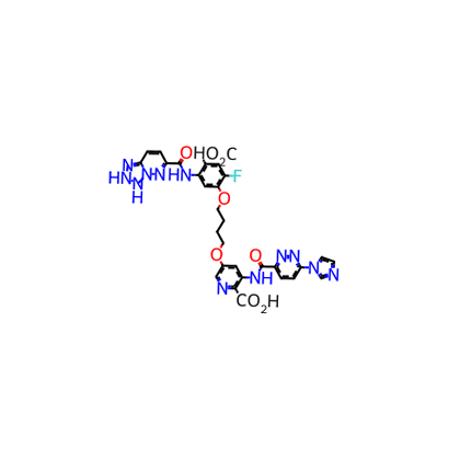 O=C(Nc1cc(OCCCCOc2cnc(C(=O)O)c(NC(=O)c3ccc(-n4ccnc4)nn3)c2)c(F)cc1C(=O)O)C1=NN2NNN=C2C=C1